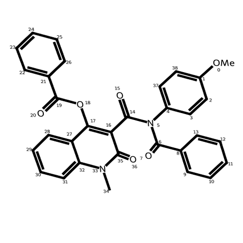 COc1ccc(N(C(=O)c2ccccc2)C(=O)c2c(OC(=O)c3ccccc3)c3ccccc3n(C)c2=O)cc1